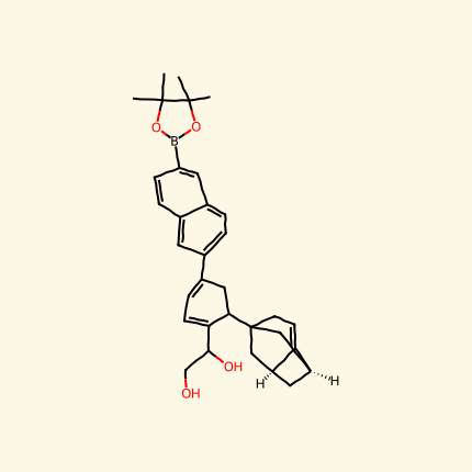 CC1(C)OB(c2ccc3cc(C4=CC=C(C(O)CO)C(C56CC=C7[C@@H](C[C@H]7C5)C6)C4)ccc3c2)OC1(C)C